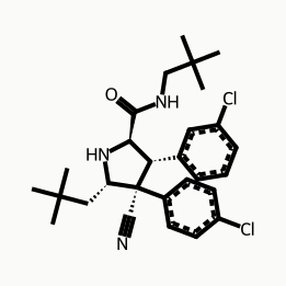 CC(C)(C)CNC(=O)[C@@H]1N[C@@H](CC(C)(C)C)[C@](C#N)(c2ccc(Cl)cc2)[C@H]1c1cccc(Cl)c1